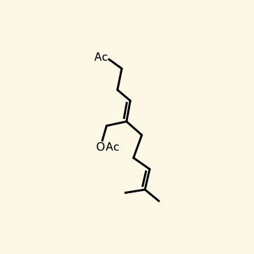 CC(=O)CCC=C(CCC=C(C)C)COC(C)=O